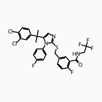 CC(C)(c1ccc(Cl)c(Cl)c1)c1cnc(SCc2ccc(F)c(C(=O)NCC(F)(F)F)c2)n1-c1ccc(F)cc1